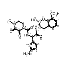 CCN1CCN(C(=O)NC(C(=O)N[C@H]2Cc3cccc(C(=O)O)c3OB2O)c2cnc(N)s2)C(=O)C1=O